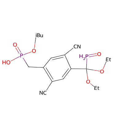 CCOC(OCC)([PH2]=O)c1cc(C#N)c(CP(=O)(O)OC(C)CC)cc1C#N